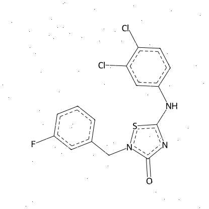 O=c1nc(Nc2ccc(Cl)c(Cl)c2)sn1Cc1cccc(F)c1